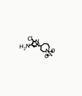 CS(=O)(=O)N1CCCC(n2cc(N)c(Cl)n2)CC1